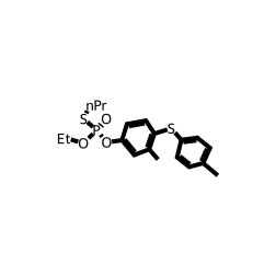 CCCSP(=O)(OCC)Oc1ccc(Sc2ccc(C)cc2)c(C)c1